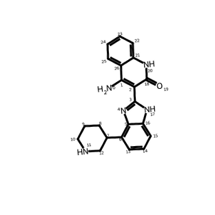 Nc1c(-c2nc3c(C4CCCNC4)cccc3[nH]2)c(=O)[nH]c2ccccc12